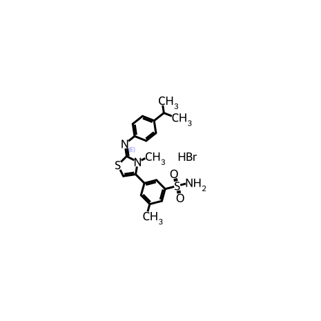 Br.Cc1cc(-c2cs/c(=N/c3ccc(C(C)C)cc3)n2C)cc(S(N)(=O)=O)c1